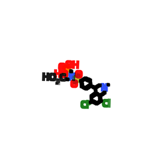 CN1Cc2c(Cl)cc(Cl)cc2C(c2ccc(S(=O)(=O)N(CC(=O)O)CP(=O)(O)O)cc2)C1